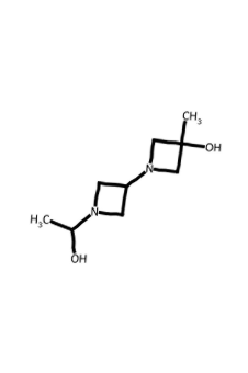 CC(O)N1CC(N2CC(C)(O)C2)C1